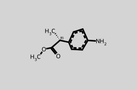 COC(=O)[C@H](C)c1ccc(N)cc1